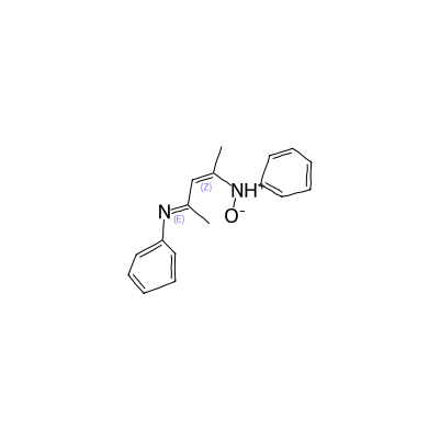 C/C(=C/C(C)=N/c1ccccc1)[NH+]([O-])c1ccccc1